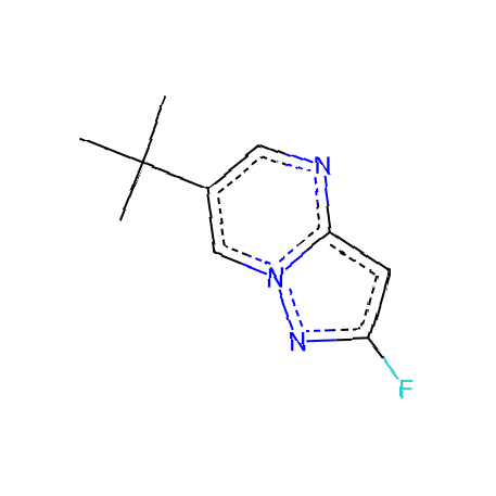 CC(C)(C)c1cnc2cc(F)nn2c1